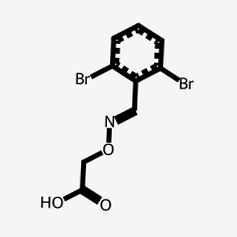 O=C(O)CO/N=C/c1c(Br)cccc1Br